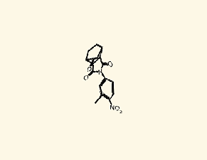 Cc1cc(N2C(=O)C3C4CCC(C(=O)C4)C3C2=O)ccc1[N+](=O)[O-]